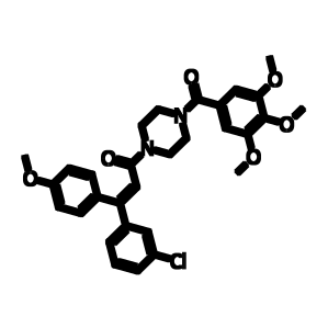 COc1ccc(/C(=C\C(=O)N2CCN(C(=O)c3cc(OC)c(OC)c(OC)c3)CC2)c2cccc(Cl)c2)cc1